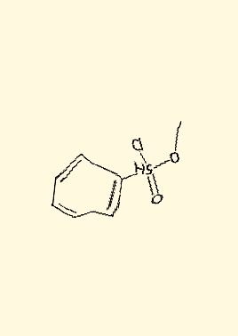 CO[SH](=O)(Cl)c1ccccc1